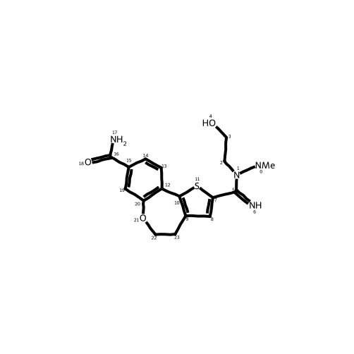 CNN(CCO)C(=N)c1cc2c(s1)-c1ccc(C(N)=O)cc1OCC2